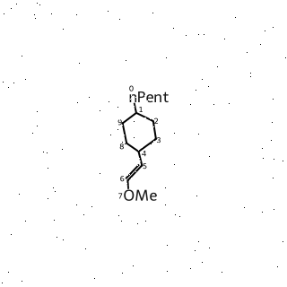 CCCCCC1CCC(C=COC)CC1